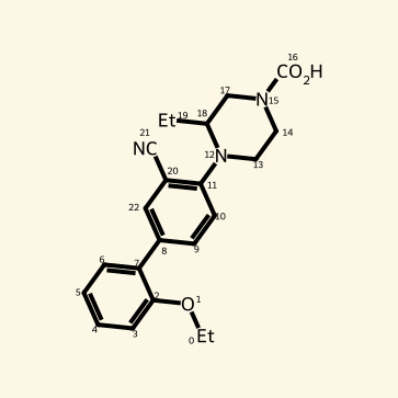 CCOc1ccccc1-c1ccc(N2CCN(C(=O)O)CC2CC)c(C#N)c1